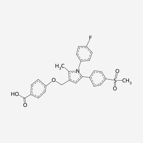 Cc1c(COc2ccc(C(=O)O)cc2)cc(-c2ccc(S(C)(=O)=O)cc2)n1-c1ccc(F)cc1